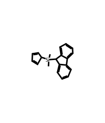 C[Si](C)(C1C=CC=C1)C1c2ccccc2-c2ccccc21